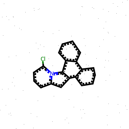 Clc1cccc2cc3c4ccccc4c4ccccc4c3n12